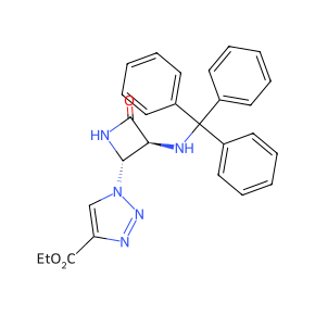 CCOC(=O)c1cn([C@@H]2NC(=O)[C@H]2NC(c2ccccc2)(c2ccccc2)c2ccccc2)nn1